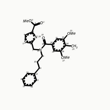 COC(=O)c1csc(CN(CCCc2ccccc2)C(=O)c2cc(OC)c(C)c(OC)c2)n1